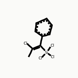 CC(Cl)=C(c1ccccc1)[Si](Cl)(Cl)Cl